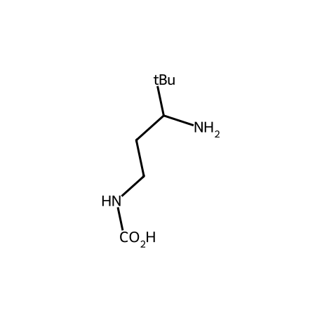 CC(C)(C)C(N)CCNC(=O)O